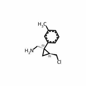 Cc1cccc([C@]2(CN)C[C@@H]2CCl)c1